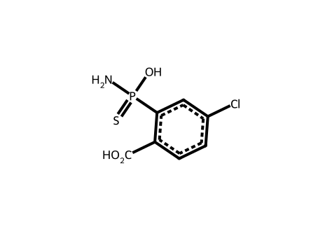 NP(O)(=S)c1cc(Cl)ccc1C(=O)O